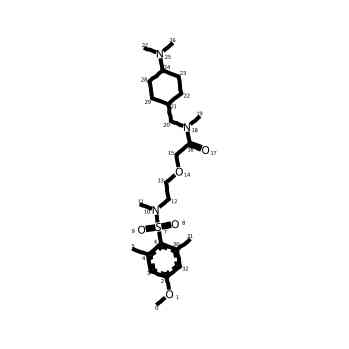 COc1cc(C)c(S(=O)(=O)N(C)CCOCC(=O)N(C)CC2CCC(N(C)C)CC2)c(C)c1